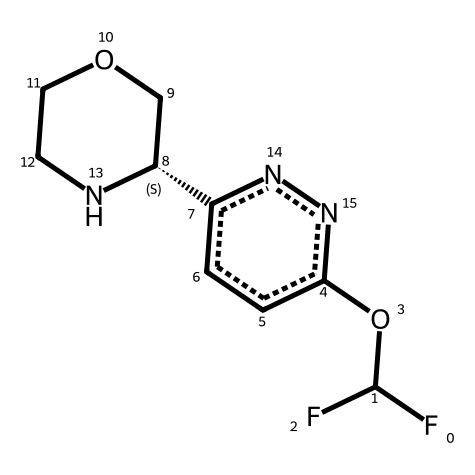 FC(F)Oc1ccc([C@H]2COCCN2)nn1